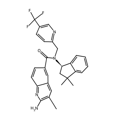 Cc1cc2cc(C(=O)N(Cc3ccc(C(F)(F)F)cn3)[C@@H]3CC(C)(C)c4ccccc43)ccc2nc1N